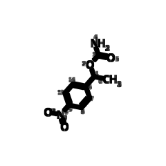 CC(OC(N)=O)c1ccc([N+](=O)[O-])cc1